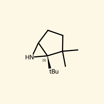 CC(C)(C)[C@@]12NC1CCC2(C)C